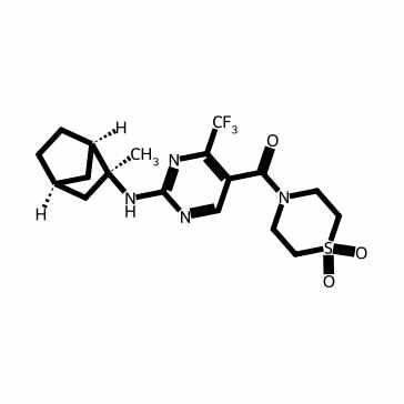 C[C@]1(Nc2ncc(C(=O)N3CCS(=O)(=O)CC3)c(C(F)(F)F)n2)C[C@H]2CC[C@@H]1C2